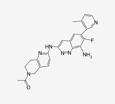 CC(=O)N1CCc2nc(Nc3cc4cc(-c5cnccc5C)c(F)c(N)c4nn3)ccc2C1